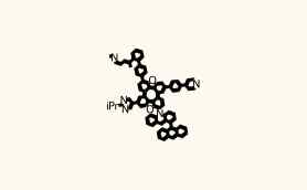 C=N/C=C\C=C(/C)c1ccccc1-c1ccc(-c2ccc3c4cc(-c5cnc(C(C)C)nc5)cc5oc6c(N7c8ccccc8C=C8C(c9c%10ccccc%10cc%10ccccc9%10)=CC=CC87)ccc(c7cc(-c8ccc(-c9ccncc9)cc8)cc8oc2c3c87)c6c54)cc1